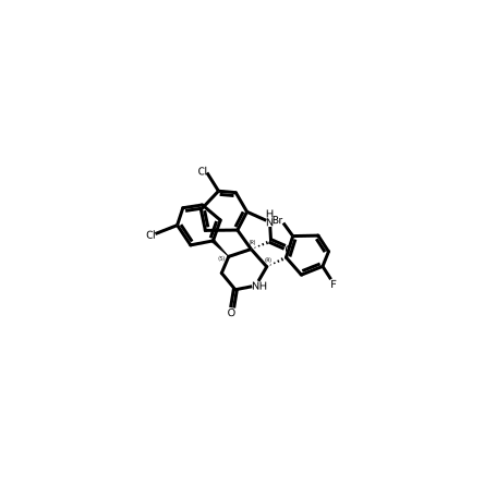 O=C1C[C@@H](c2cccc(Cl)c2)[C@]2(C(=O)Nc3cc(Cl)ccc32)[C@H](c2cc(F)ccc2Br)N1